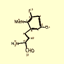 CNc1c(F)cc(Cl)cc1CCC(N)C=O